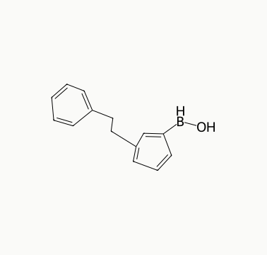 OBc1cccc(CCc2ccccc2)c1